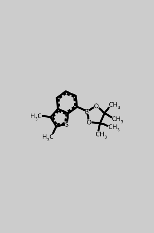 Cc1sc2c(B3OC(C)(C)C(C)(C)O3)cccc2c1C